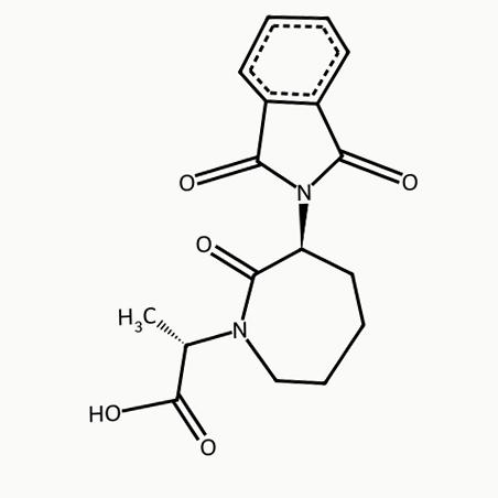 C[C@@H](C(=O)O)N1CCCC[C@H](N2C(=O)c3ccccc3C2=O)C1=O